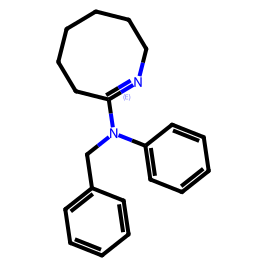 c1ccc(CN(/C2=N/CCCCCC2)c2ccccc2)cc1